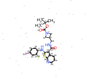 CC(C)(C)OC(=O)N1CC(CNC(=O)c2c(Nc3ccc(I)cc3F)sc3ncccc23)C1